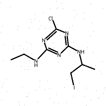 CCNc1nc(Cl)nc(NC(C)CI)n1